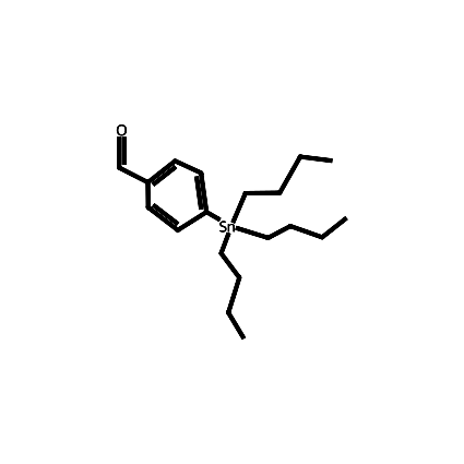 CCC[CH2][Sn]([CH2]CCC)([CH2]CCC)[c]1ccc(C=O)cc1